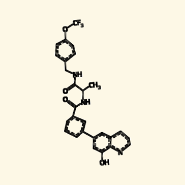 CC(NC(=O)c1cccc(-c2cc(O)c3ncccc3c2)c1)C(=O)NCc1ccc(OC(F)(F)F)cc1